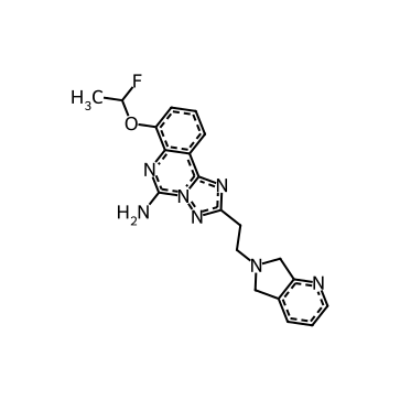 CC(F)Oc1cccc2c1nc(N)n1nc(CCN3Cc4cccnc4C3)nc21